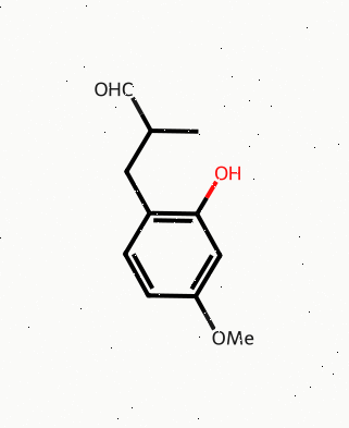 COc1ccc(CC(C)C=O)c(O)c1